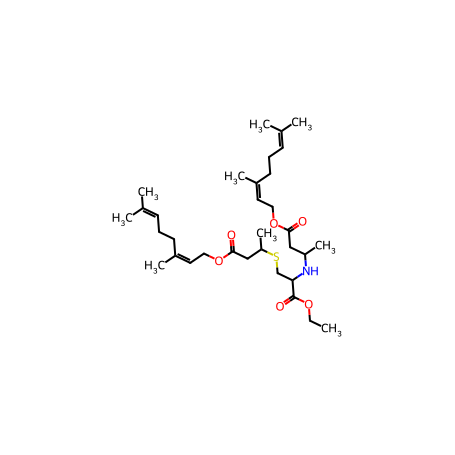 CCOC(=O)C(CSC(C)CC(=O)OCC=C(C)CCC=C(C)C)NC(C)CC(=O)OCC=C(C)CCC=C(C)C